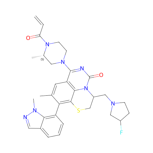 C=CC(=O)N1CCN(c2nc(=O)n3c4c(c(-c5cccc6cnn(C)c56)c(C)cc24)SCC3CN2CCC(F)C2)C[C@@H]1C